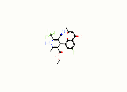 CCOC(=O)C1=C(C)NC(C(F)(F)F)=C(C#N)C1c1cc(F)cc2c(=O)cc(C)oc12